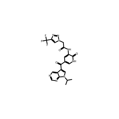 CC(C)n1cc(C(=O)c2c[nH]c(=O)c(NC(=O)Cn3cc(C(F)(F)F)nn3)c2)c2cncnc21